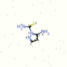 NC(=S)n1nccc1N